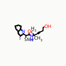 CSC(C(=O)NC(C)(C)C#CCCO)c1nc2ccccc2cc1I